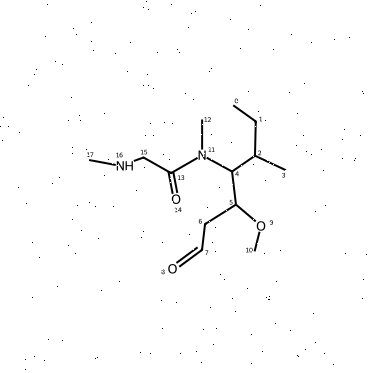 CCC(C)C(C(CC=O)OC)N(C)C(=O)CNC